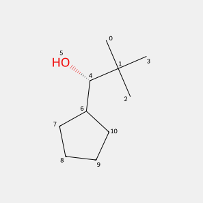 CC(C)(C)[C@@H](O)C1CCCC1